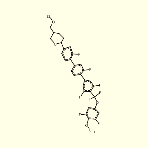 CCOCC1CCC(c2ccc(-c3ccc(-c4cc(F)c(C(F)(F)Oc5cc(F)c(OC(F)(F)F)c(F)c5)c(F)c4)c(F)c3)c(F)c2)OC1